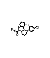 O=C(NC1CCCN2c3ccc(Cl)cc3Oc3ccccc3C12)C(F)(F)F